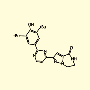 CC(C)(C)c1cc(-c2nccc(-c3cc4n(n3)CCNC4=O)n2)cc(C(C)(C)C)c1O